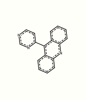 c1ccc2c(-c3ccncn3)c3ccccc3nc2c1